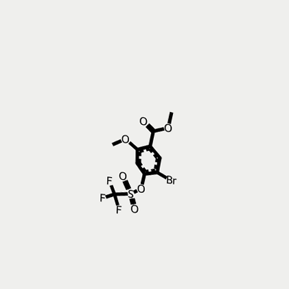 COC(=O)c1cc(Br)c(OS(=O)(=O)C(F)(F)F)cc1OC